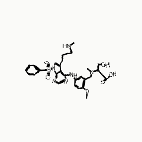 CNCCCc1cn(S(=O)(=O)c2ccccc2)c2ncnc(Nc3ccc(OC)c(CN(C)C(CO)C(=O)O)c3)c12